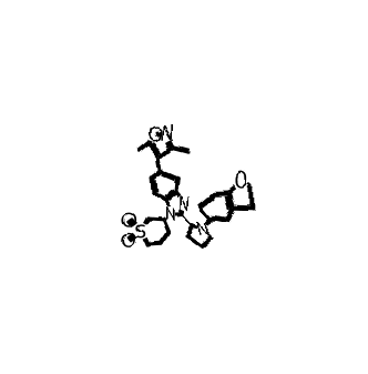 Cc1noc(C)c1-c1ccc2c(c1)nc([C@@H]1CCCN1c1ccc3c(c1)CCO3)n2C1CCCS(=O)(=O)C1